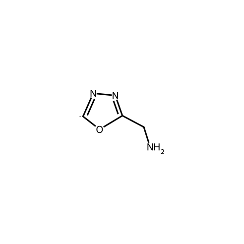 NCc1nn[c]o1